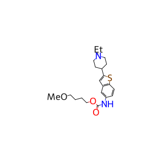 CCN1CCC(c2cc3cc(NC(=O)OCCCCOC)ccc3s2)CC1